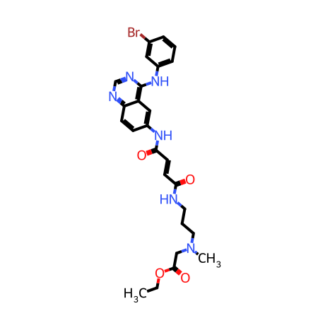 CCOC(=O)CN(C)CCCNC(=O)/C=C/C(=O)Nc1ccc2ncnc(Nc3cccc(Br)c3)c2c1